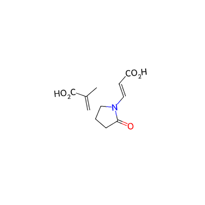 C=C(C)C(=O)O.O=C(O)C=CN1CCCC1=O